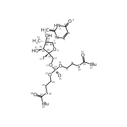 C=C1NC(=O)C=CN1[C@@H]1O[C@](F)(COP(=O)(OCCSC(=O)C(C)(C)C)OCCSC(=O)C(C)(C)C)[C@@H](O)[C@@]1(C)O